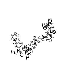 NC(=O)c1c(-c2ccc(Oc3ccccc3)cc2)nn2c1NCCC2C1CCN(C(=O)CCCSc2cccc3c2CN(C2CCC(=O)NC2=O)C3=O)CC1